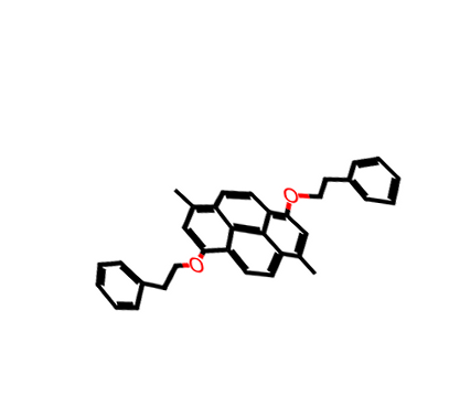 Cc1cc(OCCc2ccccc2)c2ccc3c(C)cc(OCCc4ccccc4)c4ccc1c2c34